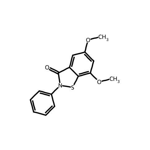 COc1cc(OC)c2sn(-c3ccccc3)c(=O)c2c1